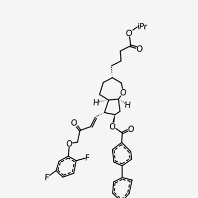 CC(C)OC(=O)CCC[C@H]1CC[C@@H]2[C@@H](/C=C/C(=O)COc3cc(F)ccc3F)[C@H](OC(=O)c3ccc(-c4ccccc4)cc3)C[C@@H]2OC1